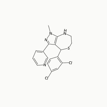 Cn1nc(-c2cccnc2)c2c1NCCSC2c1ccc(Cl)cc1Cl